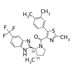 Cc1nc(C(=O)N2CC[C@H](C)[C@H]2c2nc3cc(C(F)(F)F)ccc3[nH]2)c(-c2ccc(C)c(C)c2)s1